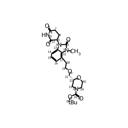 Cn1c(=O)n(C2CCC(=O)NC2=O)c2cccc(CCOC[C@H]3CN(C(=O)OC(C)(C)C)CCO3)c21